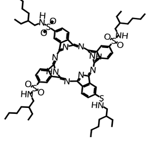 CCCCC(CC)CNSc1ccc2c(c1)-c1nc-2nc2[nH]c(nc3nc(nc4[nH]c(n1)c1ccc(S(=O)(=O)NCC(CC)CCCC)cc41)-c1ccc(S(=O)(=O)NCC(CC)CCCC)cc1-3)c1ccc(S(=O)(=O)NCC(CC)CCCC)cc21